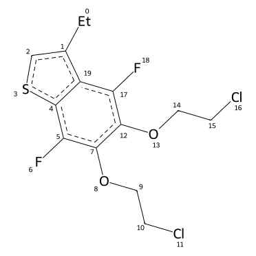 CCc1csc2c(F)c(OCCCl)c(OCCCl)c(F)c12